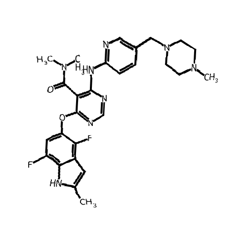 Cc1cc2c(F)c(Oc3ncnc(Nc4ccc(CN5CCN(C)CC5)cn4)c3C(=O)N(C)C)cc(F)c2[nH]1